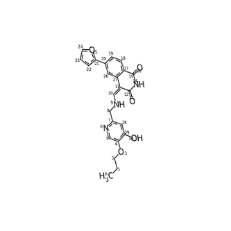 CCCOc1cnc(CN/C=C2\C(=O)NC(=O)c3ccc(-c4ccco4)cc32)cc1O